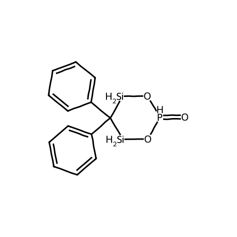 O=[PH]1O[SiH2]C(c2ccccc2)(c2ccccc2)[SiH2]O1